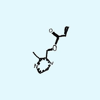 C=CC(=O)OCc1nccnc1C